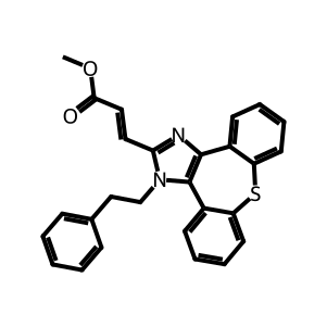 COC(=O)/C=C/c1nc2c(n1CCc1ccccc1)-c1ccccc1Sc1ccccc1-2